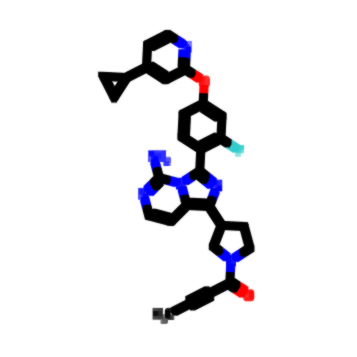 CC#CC(=O)N1CCC(c2nc(-c3ccc(Oc4cc(C5CC5)ccn4)cc3F)n3c(N)nccc23)C1